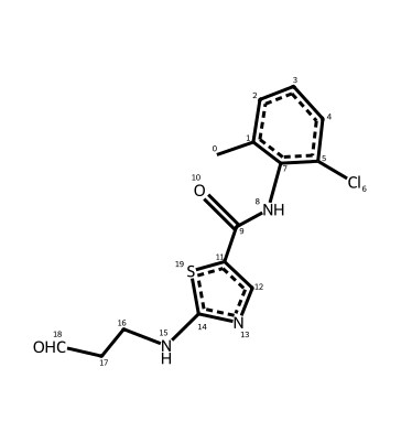 Cc1cccc(Cl)c1NC(=O)c1cnc(NCCC=O)s1